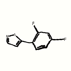 Fc1ccc(-c2ccns2)c(F)c1